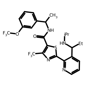 CCC(NC(C)C)c1cccnc1-c1nc(C(F)(F)F)c(C(=O)NC(C)c2cccc(OC(F)(F)F)c2)s1